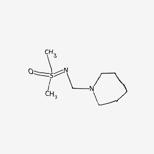 CS(C)(=O)=NCN1CCCCC1